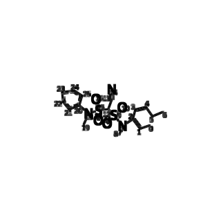 C/C=C(\C=C/CC)N(C)S(=O)(=O)C(C#N)S(=O)(=O)N(C)c1ccccc1